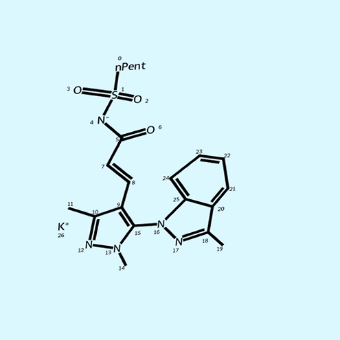 CCCCCS(=O)(=O)[N-]C(=O)/C=C/c1c(C)nn(C)c1-n1nc(C)c2ccccc21.[K+]